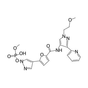 COCCn1cc(NC(=O)c2ccc(-c3cnn(OP(=O)(O)OC)c3)o2)c(-c2ccccn2)n1